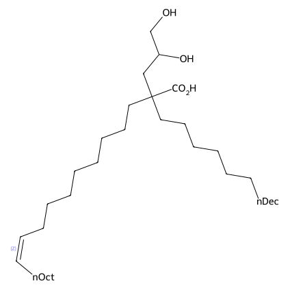 CCCCCCCC/C=C\CCCCCCCCC(CCCCCCCCCCCCCCCC)(CC(O)CO)C(=O)O